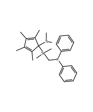 CC1=C(C)[C]([Ti]([CH3])[CH3])([Si](C)(C)CP(c2ccccc2)c2ccccc2)C(C)=C1C